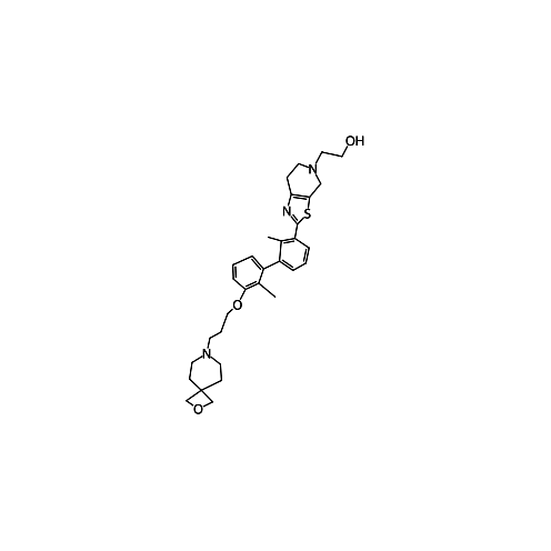 Cc1c(OCCCN2CCC3(CC2)COC3)cccc1-c1cccc(-c2nc3c(s2)CN(CCO)CC3)c1C